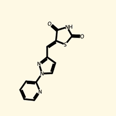 O=C1NC(=O)/C(=C/c2ccn(-c3ccccn3)n2)S1